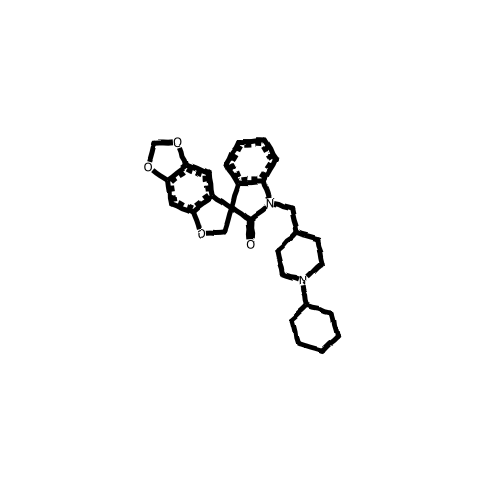 O=C1N(CC2CCN(C3CCCCC3)CC2)c2ccccc2C12COc1cc3c(cc12)OCO3